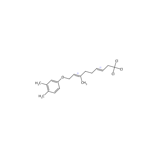 C/C(=C\COc1ccc(C)c(C)c1)CC/C=C/CC(Cl)(Cl)Cl